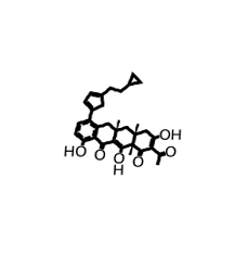 CC(=O)C1=C(O)C[C@@]2(C)C[C@@]3(C)Cc4c(C5=CC=C(CCC6CC6)C5)ccc(O)c4C(=O)C3=C(O)[C@@]2(C)C1=O